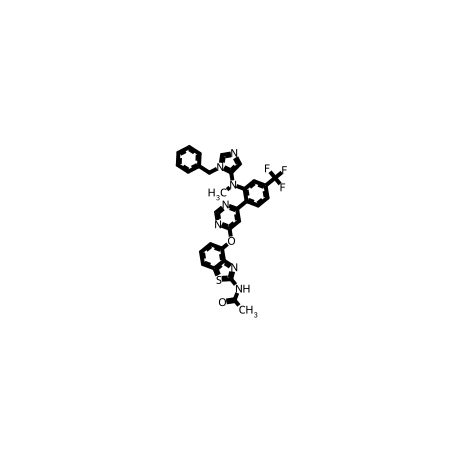 CC(=O)Nc1nc2c(Oc3cc(-c4ccc(C(F)(F)F)cc4N(C)c4cncn4Cc4ccccc4)ncn3)cccc2s1